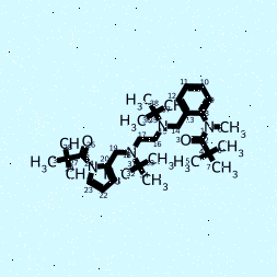 CN(C(=O)C(C)(C)C)c1ccccc1CN(CCN(Cc1cccn1C(=O)C(C)(C)C)C(C)(C)C)C(C)(C)C